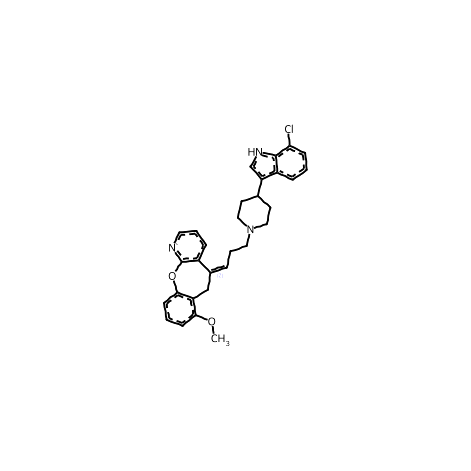 COc1cccc2c1C/C(=C/CCN1CCC(c3c[nH]c4c(Cl)cccc34)CC1)c1cccnc1O2